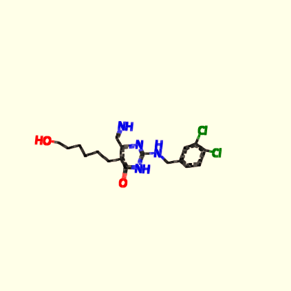 N=Cc1nc(NCc2ccc(Cl)c(Cl)c2)[nH]c(=O)c1CCCCCCO